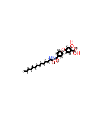 CCCCCCCCCCCCCC(=O)NC(=O)c1ccc(Oc2ccc(C(=O)O)c(O)c2)cc1